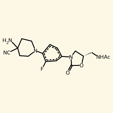 CC(=O)NC[C@H]1CN(c2ccc(N3CCC(N)(C#N)CC3)c(F)c2)C(=O)O1